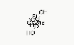 CCOC(C)OCC.COC.OCCOCCOCCO